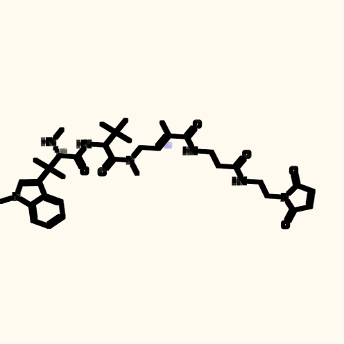 CN[C@H](C(=O)NC(C(=O)N(C)C/C=C(\C)C(=O)NCCC(=O)NCCN1C(=O)C=CC1=O)C(C)(C)C)C(C)(C)c1cn(C)c2ccccc12